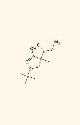 CC(C)(C)SCC(C)(C(=O)O)C(=O)OP